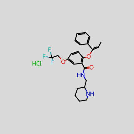 CC=C(Oc1ccc(OCC(F)(F)F)cc1C(=O)NCC1CCCCN1)c1ccccc1.Cl